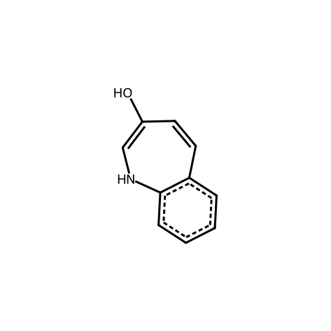 OC1=CNc2ccccc2C=C1